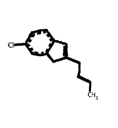 CCCCC1=Cc2ccc(Cl)cc2C1